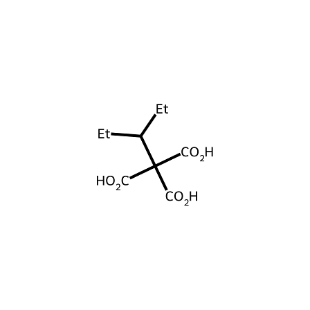 CCC(CC)C(C(=O)O)(C(=O)O)C(=O)O